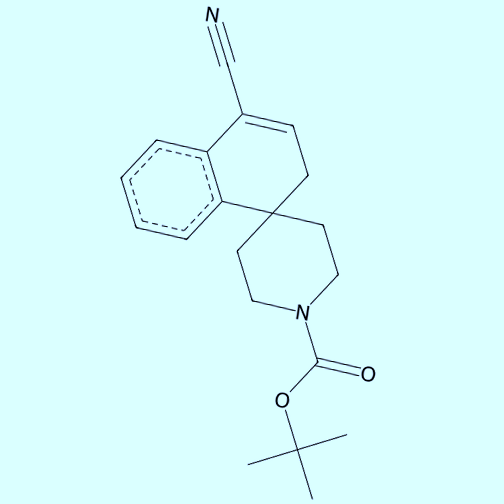 CC(C)(C)OC(=O)N1CCC2(CC=C(C#N)c3ccccc32)CC1